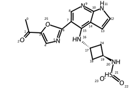 CC(=O)c1cnc(-c2cnc3[nH]ccc3c2N[C@H]2C[C@H](N[SH](=O)=O)C2)o1